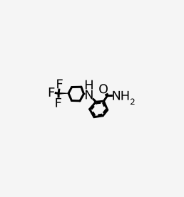 NC(=O)c1ccccc1N[C@H]1CC[C@H](C(F)(F)F)CC1